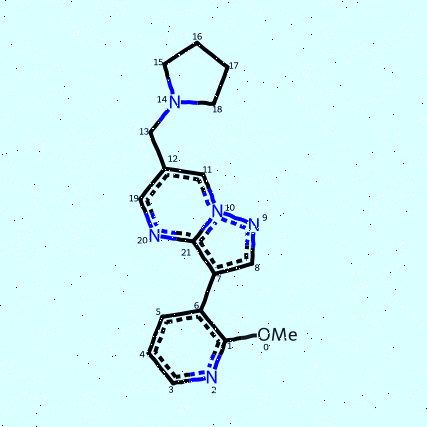 COc1ncccc1-c1cnn2cc(CN3CCCC3)cnc12